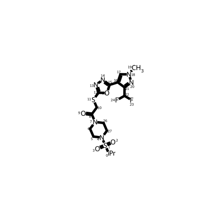 CC(C)S(=O)(=O)N1CCN(C(=O)CSc2nnc(-c3cn(C)nc3C(F)F)o2)CC1